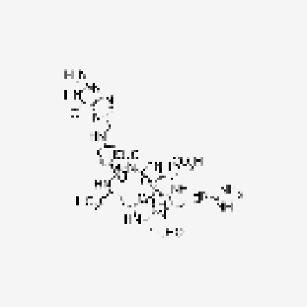 CNC(=O)[C@H](CC(=O)O)NC(=O)[C@H](CC(=O)O)NC(=O)[C@H](CCCNC(=N)N)NC(=O)[C@H](CC=O)NC(=O)CC[C@H](NC(=O)c1ccc(NCc2cnc3nc(N)[nH]c(=O)c3n2)cc1)C(=O)O